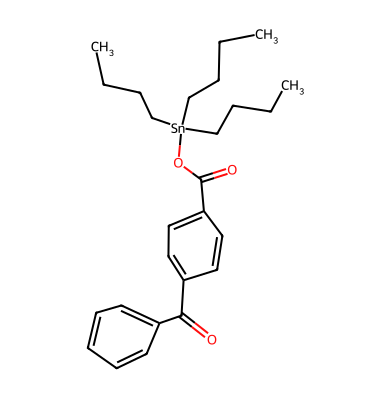 CCC[CH2][Sn]([CH2]CCC)([CH2]CCC)[O]C(=O)c1ccc(C(=O)c2ccccc2)cc1